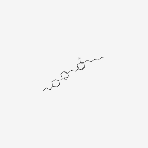 CCCCCCc1ccc(CCC2=CCC([C@H]3CC[C@H](CCC)CC3)CC2)cc1F